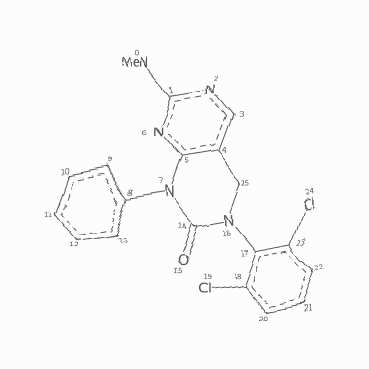 CNc1ncc2c(n1)N(c1ccccc1)C(=O)N(c1c(Cl)cccc1Cl)C2